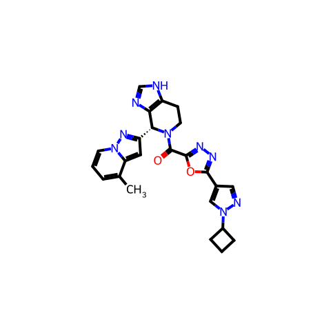 Cc1cccn2nc([C@@H]3c4nc[nH]c4CCN3C(=O)c3nnc(-c4cnn(C5CCC5)c4)o3)cc12